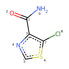 NC(=O)c1n[c]sc1Cl